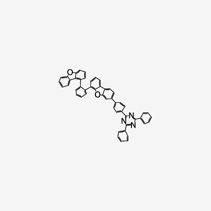 c1ccc(-c2nc(-c3ccccc3)nc(-c3ccc(-c4ccc5c(c4)oc4c(-c6ccccc6-c6cccc7oc8ccccc8c67)cccc45)cc3)n2)cc1